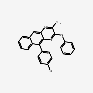 Nc1nc2cc3ccccc3c(-c3ccc(Br)cc3)c2nc1Sc1ccccc1